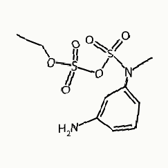 CCOS(=O)(=O)OS(=O)(=O)N(C)c1cccc(N)c1